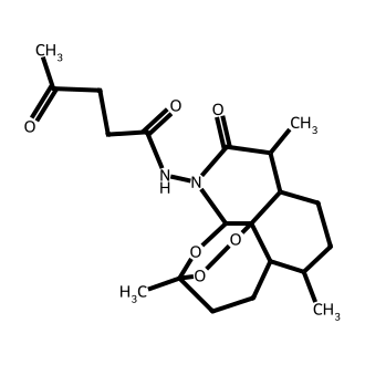 CC(=O)CCC(=O)NN1C(=O)C(C)C2CCC(C)C3CCC4(C)OOC32C1O4